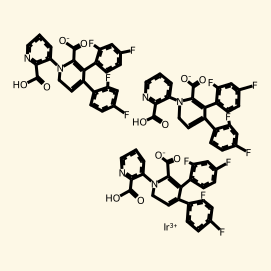 O=C([O-])C1=C(c2ccc(F)cc2F)C(c2ccc(F)cc2F)=CCN1c1cccnc1C(=O)O.O=C([O-])C1=C(c2ccc(F)cc2F)C(c2ccc(F)cc2F)=CCN1c1cccnc1C(=O)O.O=C([O-])C1=C(c2ccc(F)cc2F)C(c2ccc(F)cc2F)=CCN1c1cccnc1C(=O)O.[Ir+3]